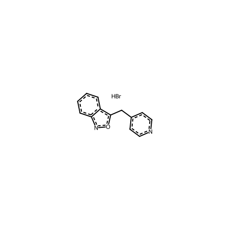 Br.c1ccc2c(Cc3ccncc3)onc2c1